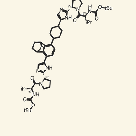 CC(C)[C@H](NC(=O)OC(C)(C)C)C(=O)N1CCC[C@H]1c1ncc(-c2ccc(C3CCC(c4cnc([C@@H]5CCCN5C(=O)[C@@H](NC(=O)OC(C)(C)C)C(C)C)[nH]4)CC3)c3c2C2CCC3O2)[nH]1